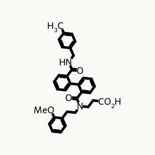 COc1ccccc1CCN(CCC(=O)O)C(=O)c1ccccc1-c1ccccc1C(=O)NCc1ccc(C)cc1